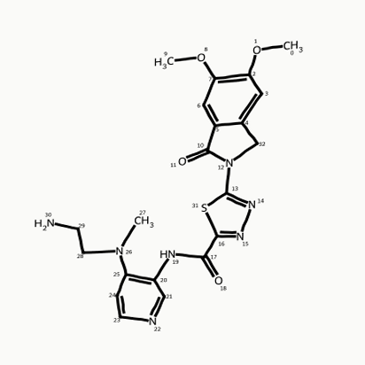 COc1cc2c(cc1OC)C(=O)N(c1nnc(C(=O)Nc3cnccc3N(C)CCN)s1)C2